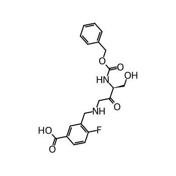 O=C(N[C@@H](CO)C(=O)CNCc1cc(C(=O)O)ccc1F)OCc1ccccc1